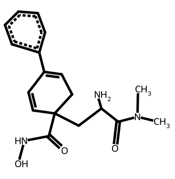 CN(C)C(=O)C(N)CC1(C(=O)NO)C=CC(c2ccccc2)=CC1